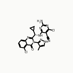 Cc1c[nH]nc1-n1c([C@@H](Nc2nc(N)nc(Cl)c2C#N)C2CC2)nc2cccc(Cl)c2c1=O